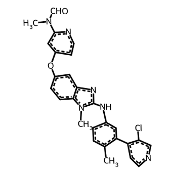 Cc1ccc(Nc2nc3cc(Oc4ccnc(N(C)C=O)c4)ccc3n2C)cc1-c1ccncc1Cl